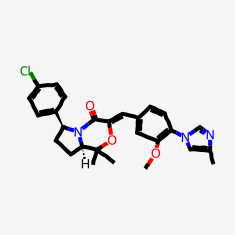 COc1cc(/C=C2\OC(C)(C)[C@H]3CC[C@@H](c4ccc(Cl)cc4)N3C2=O)ccc1-n1cnc(C)c1